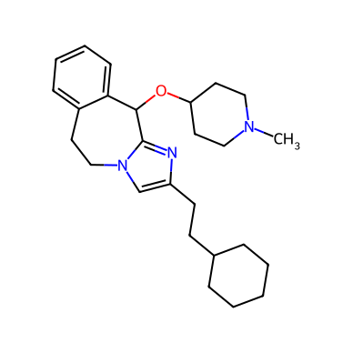 CN1CCC(OC2c3ccccc3CCn3cc(CCC4CCCCC4)nc32)CC1